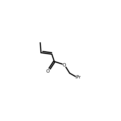 CC=CC(=O)OCC(C)C